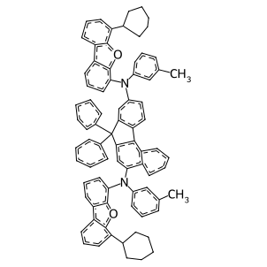 Cc1cccc(N(c2ccc3c(c2)C(c2ccccc2)(c2ccccc2)c2cc(N(c4cccc(C)c4)c4cccc5c4oc4c(C6CCCCC6)cccc45)c4ccccc4c2-3)c2cccc3c2oc2c(C4CCCCC4)cccc23)c1